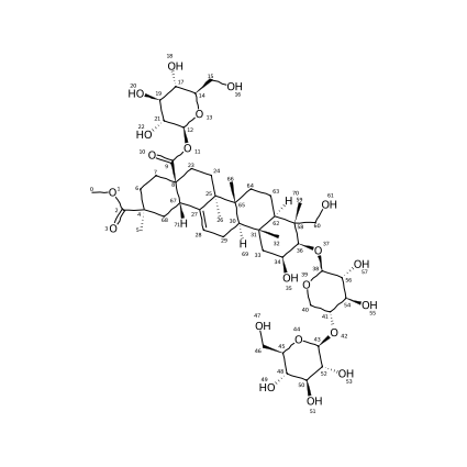 COC(=O)[C@@]1(C)CC[C@]2(C(=O)O[C@@H]3O[C@H](CO)[C@@H](O)[C@H](O)[C@H]3O)CC[C@]3(C)C(=CC[C@@H]4[C@@]5(C)C[C@H](O)[C@H](O[C@@H]6OC[C@@H](O[C@@H]7O[C@H](CO)[C@@H](O)[C@H](O)[C@H]7O)[C@H](O)[C@H]6O)[C@@](C)(CO)[C@@H]5CC[C@]43C)[C@@H]2C1